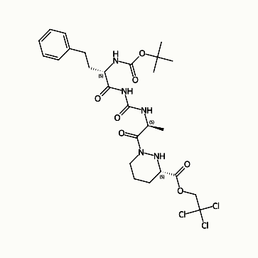 C[C@H](NC(=O)NC(=O)[C@H](CCc1ccccc1)NC(=O)OC(C)(C)C)C(=O)N1CCC[C@@H](C(=O)OCC(Cl)(Cl)Cl)N1